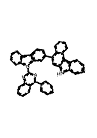 c1ccc(-c2nc(-n3c4ccccc4c4ccc(-c5cc6[nH]c7ccccc7c6c6ccccc56)cc43)nc3ccccc23)cc1